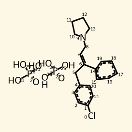 Clc1ccc(CC(=CCN2CCCC2)c2ccccc2)cc1.O=P(O)(O)O.O=P(O)(O)O